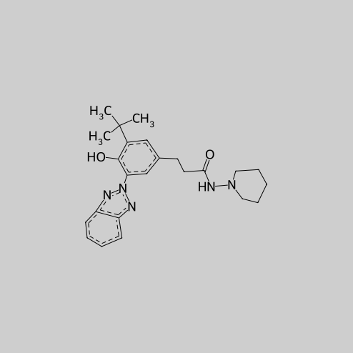 CC(C)(C)c1cc(CCC(=O)NN2CCCCC2)cc(-n2nc3ccccc3n2)c1O